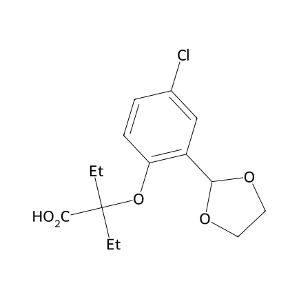 CCC(CC)(Oc1ccc(Cl)cc1C1OCCO1)C(=O)O